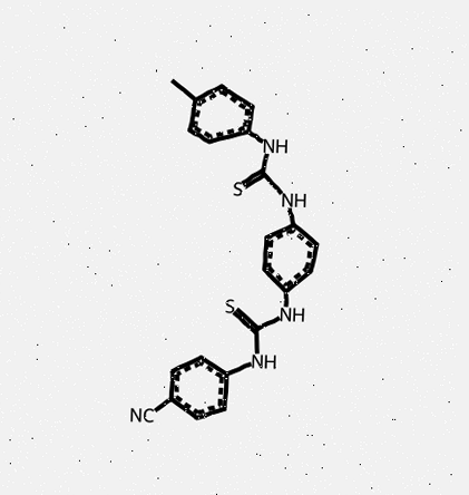 Cc1ccc(NC(=S)Nc2ccc(NC(=S)Nc3ccc(C#N)cc3)cc2)cc1